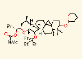 CC[Si](CC)(CC)O[C@H]1[C@H]2O[C@@H]([C@H](OC(=O)NC)C(C)C)C[C@@H](C)[C@@H]2[C@@]2(C)CC[C@@]34CC35CCC(O[C@H]3CCCCO3)C(C)(C)[C@@H]5CC[C@H]4[C@]12C